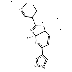 CCC(/C=N\C)C1=N[C@@H]2N=C(c3cn[nH]c3)C=CC2S1